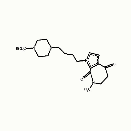 CCOC(=O)N1CCN(CCCCn2ccc3c2C(=O)N(C)CCC3=O)CC1